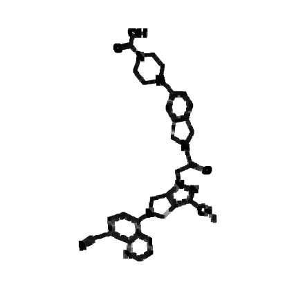 Cc1nn(CC(=O)N2Cc3ccc(N4CCN(C(=O)O)CC4)cc3C2)c2c1CN(c1ccc(C#N)c3ncccc13)C2